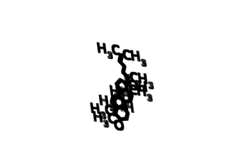 CC(C)=CCC[C@@H](C)[C@@]1(O)CC[C@H]2[C@@H]3CC=C4C(C)(C)C(=O)CC[C@]4(C)[C@H]3CC[C@@]21C